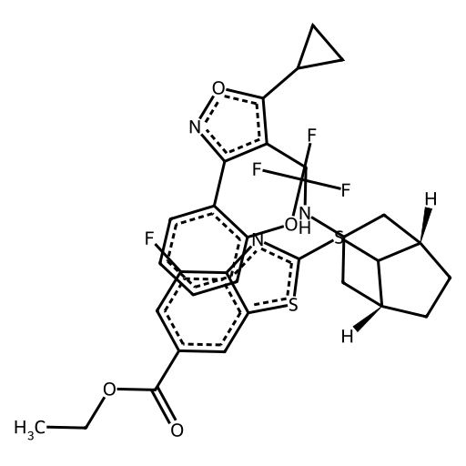 CCOC(=O)c1cc(F)c2nc(SC3[C@@H]4CC[C@H]3CC(NCc3c(-c5ccccc5OC(F)(F)F)noc3C3CC3)C4)sc2c1